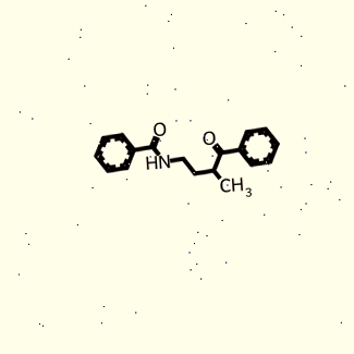 CC(CCNC(=O)c1ccccc1)C(=O)c1ccccc1